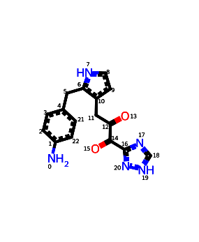 Nc1ccc(Cc2[nH]ccc2CC(=O)C(=O)c2nc[nH]n2)cc1